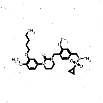 CCCCCOc1cc(N2CCCN(Cc3ccc(CN(C)S(=O)(=O)C4CC4)cc3OC)C2=O)ccc1OC